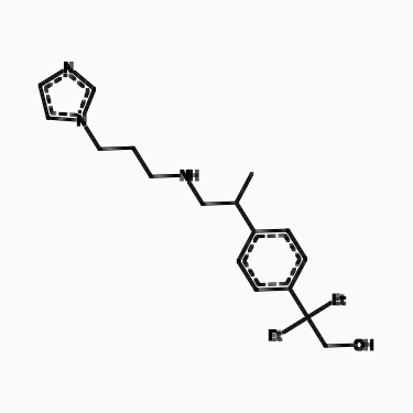 CCC(CC)(CO)c1ccc(C(C)CNCCCn2ccnc2)cc1